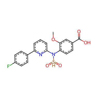 COc1cc(C(=O)O)ccc1N(c1cccc(-c2ccc(F)cc2)n1)[SH](=O)=O